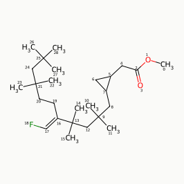 COC(=O)CC1CC1CC(C)(C)CC(C)(C)/C(=C/F)CCC(C)(C)CC(C)(C)C